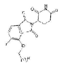 O=C(O)COc1c(I)ccc2c1C(=O)N(C1CCC(=O)NC1=O)C2=O